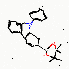 CC1(C)OB(C2C=Cc3c(n(-c4ccccc4)c4ccccc34)C2)OC1(C)C